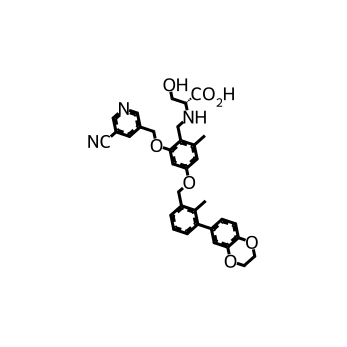 Cc1cc(OCc2cccc(-c3ccc4c(c3)OCCO4)c2C)cc(OCc2cncc(C#N)c2)c1CN[C@H](CO)C(=O)O